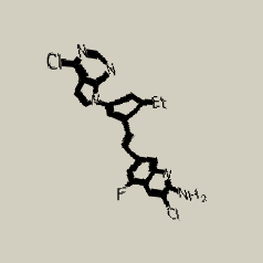 CCC1CC(n2ccc3c(Cl)ncnc32)C=C1CCc1cc(F)c2cc(Cl)c(N)nc2c1